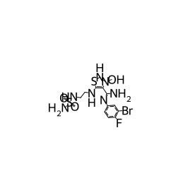 NC(=Nc1ccc(F)c(Br)c1)C1=C(NCCNS(N)(=O)=O)SNN1O